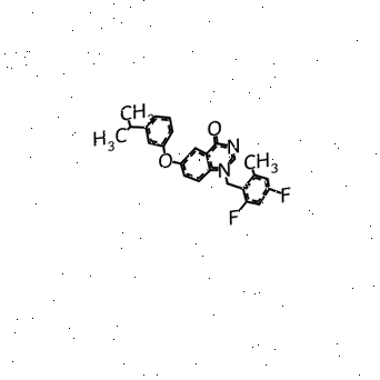 Cc1cc(F)cc(F)c1Cn1cnc(=O)c2cc(Oc3cccc(C(C)C)c3)ccc21